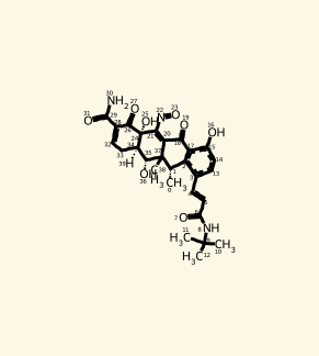 C[C@H]1c2c(/C=C/C(=O)NC(C)(C)C)ccc(O)c2C(=O)C2=C(N=O)[C@]3(O)C(=O)C(C(N)=O)=CC[C@@H]3[C@@H](O)C21C